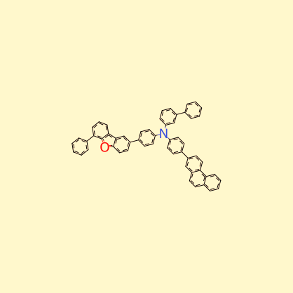 c1ccc(-c2cccc(N(c3ccc(-c4ccc5c(ccc6ccccc65)c4)cc3)c3ccc(-c4ccc5oc6c(-c7ccccc7)cccc6c5c4)cc3)c2)cc1